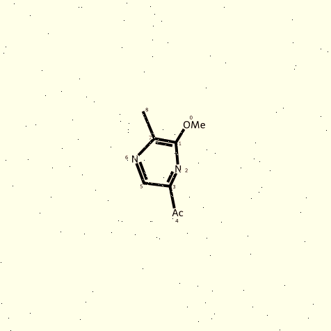 COc1nc(C(C)=O)cnc1C